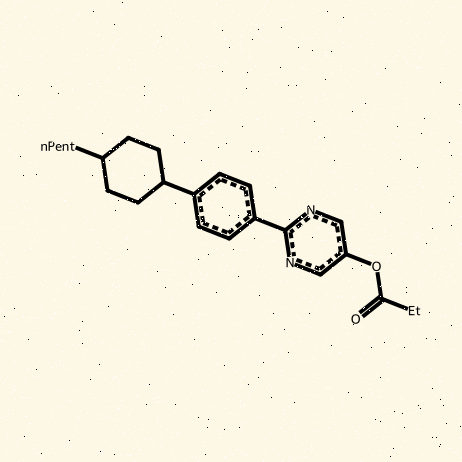 CCCCCC1CCC(c2ccc(-c3ncc(OC(=O)CC)cn3)cc2)CC1